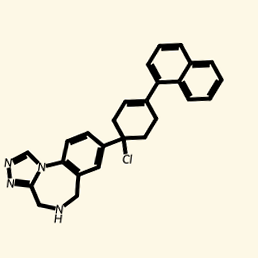 ClC1(c2ccc3c(c2)CNCc2nncn2-3)CC=C(c2cccc3ccccc23)CC1